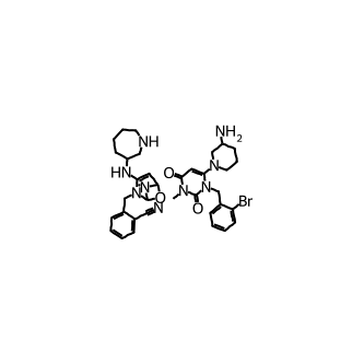 CN1C2C=C(NC3CCCCNC3)N(Cc3ccccc3C#N)C1O2.Cn1c(=O)cc(N2CCCC(N)C2)n(Cc2ccccc2Br)c1=O